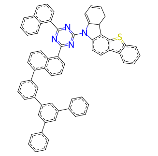 C1=CCC2C(=C1)N(c1nc(-c3cccc4ccccc34)nc(-c3cccc4c(-c5cccc(-c6cc(-c7ccccc7)cc(-c7ccccc7)c6)c5)cccc34)n1)c1ccc3c(sc4ccccc43)c12